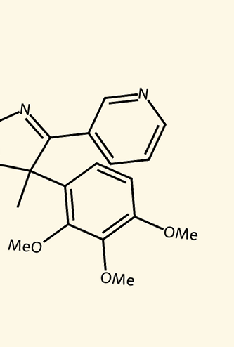 COc1ccc(C2(C)N=CN=C2c2cccnc2)c(OC)c1OC